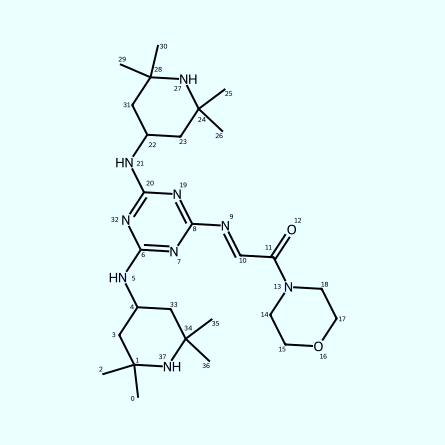 CC1(C)CC(Nc2nc(N=CC(=O)N3CCOCC3)nc(NC3CC(C)(C)NC(C)(C)C3)n2)CC(C)(C)N1